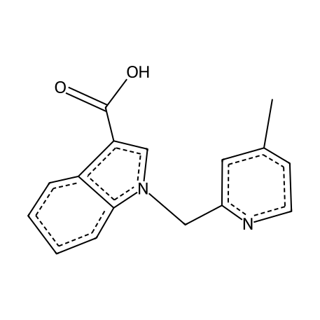 Cc1ccnc(Cn2cc(C(=O)O)c3ccccc32)c1